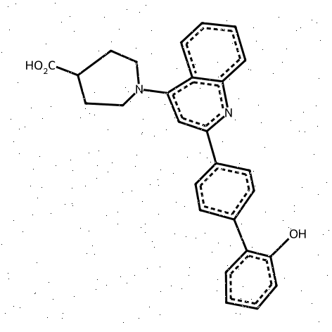 O=C(O)C1CCN(c2cc(-c3ccc(-c4ccccc4O)cc3)nc3ccccc23)CC1